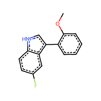 COc1ccccc1-c1c[nH]c2ccc(F)cc12